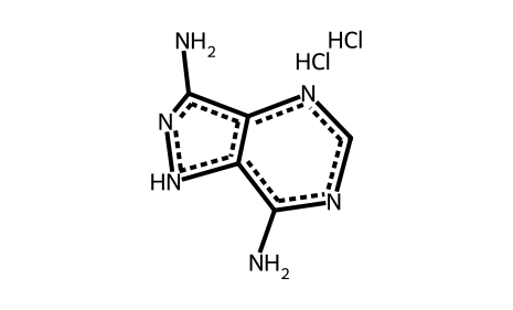 Cl.Cl.Nc1n[nH]c2c(N)ncnc12